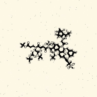 CC(C)(C)OC(=O)CCN(C(=O)/C=C/C(=O)N(c1nn(CC(F)(F)F)c2c(-c3ccc(C#CC(C)(C)S(C)(=O)=O)nc3[C@H](Cc3cc(F)cc(F)c3)NC(=O)Cn3nc(C(F)(F)F)c4c3C(F)(F)[C@@H]3C[C@H]43)ccc(Cl)c12)S(C)(=O)=O)[C@@H](CC(=O)OC(C)(C)C)C(=O)OC(C)(C)C